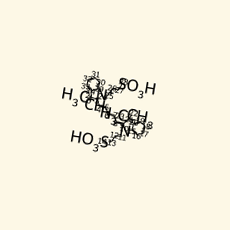 CC1(C)C(/C=C/C=C/C=C2/N(CCCS(=O)(=O)O)c3ccccc3C2(C)C)=[N+](CCCS(=O)(=O)O)c2ccccc21